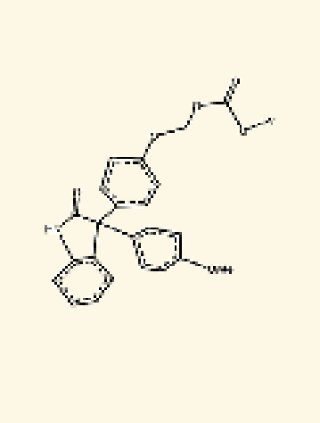 COc1ccc(C2(c3ccc(OCOC(=O)OC(C)C)cc3)C(=O)Nc3ccccc32)cc1